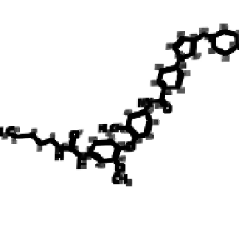 CCCCCNC(=O)Nc1ccc(Oc2ccc(NC(=O)c3ccc(-n4ccc(CN5CCC(O)CC5)c4)cc3)cc2C)c(OC)c1